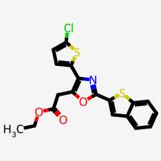 CCOC(=O)Cc1oc(-c2cc3ccccc3s2)nc1-c1ccc(Cl)s1